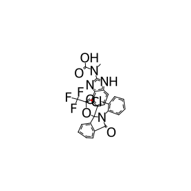 CN(C(=O)O)c1nc2cc(C3(OC(=O)C(F)(F)F)c4ccccc4C(=O)N3c3ccccc3Cl)ccc2[nH]1